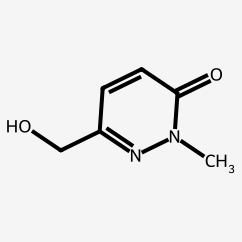 Cn1nc(CO)ccc1=O